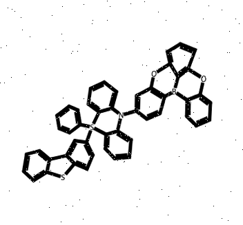 c1ccc(S2(c3ccc4sc5ccccc5c4c3)c3ccccc3N(c3ccc4c(c3)Oc3cccc5c3B4c3ccccc3O5)c3ccccc32)cc1